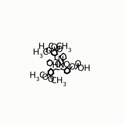 COc1ccc(CC[C@@H](NC(=O)C2CCCCN2C(=O)C(c2cc(OC)c(OC)c(OC)c2)[C@H]2C=CCCC2)c2cccc(OCC(=O)O)c2)cc1OC